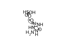 NC1NC(=O)C2=C(N1)N([C@H]1CC[C@@H](COP(=O)(O)S)O1)CN2